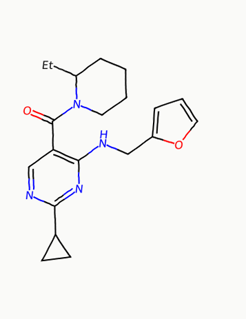 CCC1CCCCN1C(=O)c1cnc(C2CC2)nc1NCc1ccco1